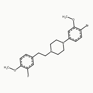 COc1ccc(CCN2CCN(c3ccc(Br)c(OC)c3)CC2)cc1F